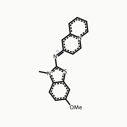 COc1ccc2c(c1)sc(/N=c1\ccn3ccccc3c1)[n+]2C